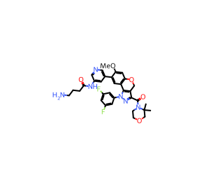 COc1cc2c(cc1-c1cncc(NC(=O)CCCN)c1)-c1c(c(C(=O)N3CCOCC3(C)C)nn1-c1cc(F)cc(F)c1)CO2